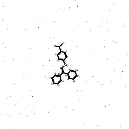 CC(C)c1ccc([Se]C=C(c2ccccc2)c2ccccc2)cc1